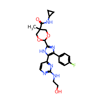 CC1(C(=O)NC2CC2)COC(c2nc(-c3ccc(F)cc3)c(-c3ccnc(NCCO)n3)[nH]2)OC1